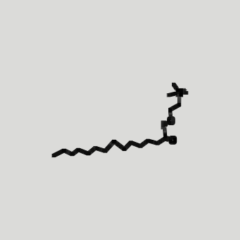 CCCCCCCCCCCCCC(=O)[P-]OCC[N+](C)(C)C